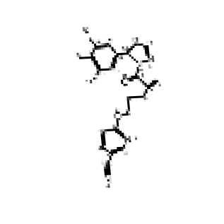 C=C(CCCOc1ccc(C#N)cn1)C(=O)N1N=CCC1c1cc(F)c(C)c(F)c1